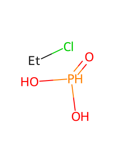 CCCl.O=[PH](O)O